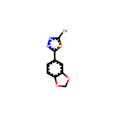 N#Cc1nnc(-c2ccc3c(c2)OCO3)s1